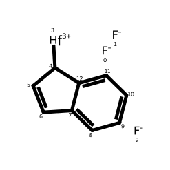 [F-].[F-].[F-].[Hf+3][CH]1C=Cc2ccccc21